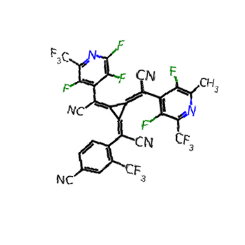 Cc1nc(C(F)(F)F)c(F)c(/C(C#N)=C2\C(=C(C#N)c3ccc(C#N)cc3C(F)(F)F)\C2=C(/C#N)c2c(F)c(F)nc(C(F)(F)F)c2F)c1F